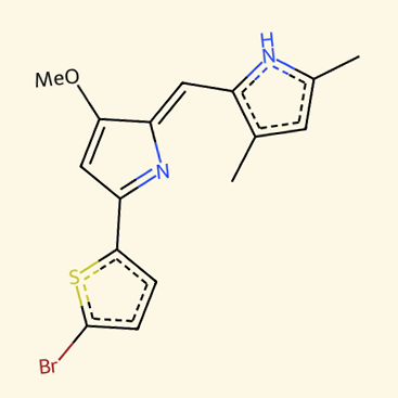 COC1=CC(c2ccc(Br)s2)=NC1=Cc1[nH]c(C)cc1C